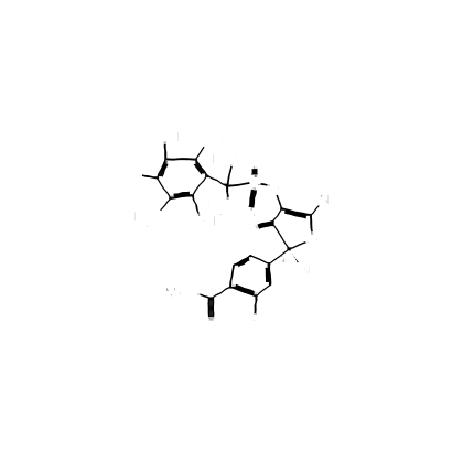 Bc1c(B)c(B)c(C(B)(B)S(=O)(=O)OC2=C(N)O[C@](B)(c3ccc(C(=O)OC)c(F)c3)C2=O)c(B)c1B